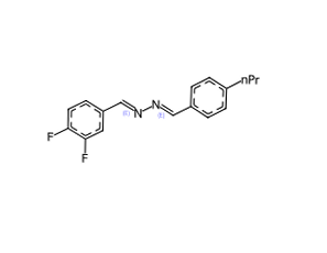 CCCc1ccc(/C=N/N=C/c2ccc(F)c(F)c2)cc1